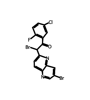 O=C(c1cc(Cl)ccc1F)C(Br)c1ccc2ncc(Br)cc2n1